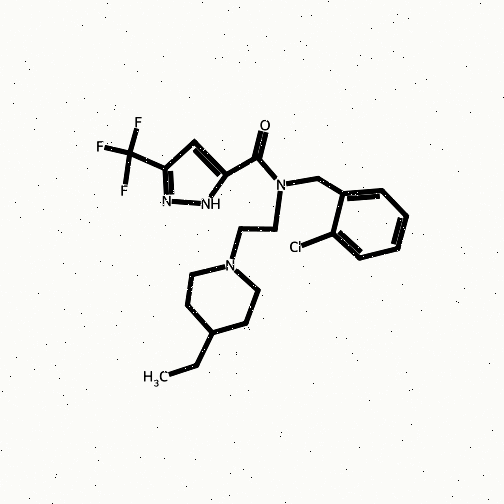 CCC1CCN(CCN(Cc2ccccc2Cl)C(=O)c2cc(C(F)(F)F)n[nH]2)CC1